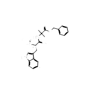 CC(C)(NC(=O)[C@@H](Cc1c[nH]c2ccccc12)NC=O)C(=O)OCc1ccccc1